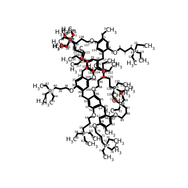 CCc1cc(OCCC[P+](CC)(CC)CC)c(Cc2cc(OCCC[P+](CC)(CC)CC)c(Cc3cc(OCCC[P+](CC)(CC)CC)c(Cc4cc(OCCC[P+](CC)(CC)CC)c(Cc5cc(OCCC[P+](CC)(CC)CC)c(C)cc5OCCC[P+](CC)(CC)CC)cc4OCCC[P+](CC)(CC)CC)cc3OCCC[P+](CC)(CC)CC)cc2OCCC[P+](CC)(CC)CC)cc1OCCC[P+](CC)(CC)CC